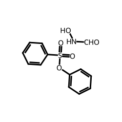 O=CNO.O=S(=O)(Oc1ccccc1)c1ccccc1